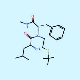 CNC(=O)[C@H](Cc1ccccc1)N(CCSC(C)(C)C)C(=O)[C@@H](N)CC(C)C